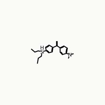 C=C(c1ccc(N(C)C)cc1)c1ccc([SiH](CCC)CCC)cc1